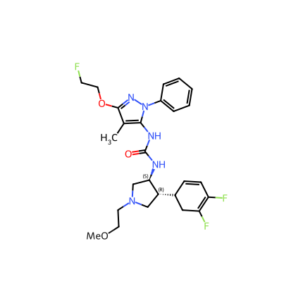 COCCN1C[C@@H](NC(=O)Nc2c(C)c(OCCF)nn2-c2ccccc2)[C@H](C2C=CC(F)=C(F)C2)C1